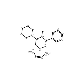 CN1C(c2cccnc2)=NOCC1N1CCCCC1.O=C(O)/C=C\C(=O)O